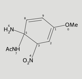 COC1=CC([N+](=O)[O-])C(N)(NC(C)=O)C=C1